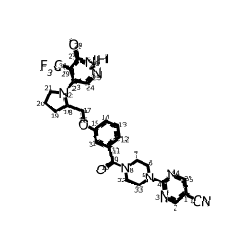 N#Cc1cnc(N2CCN(C(=O)c3cccc(OCC4CCCN4c4cn[nH]c(=O)c4C(F)(F)F)c3)CC2)nc1